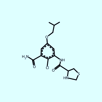 CC(C)COc1cc(NC(=O)C2CSCN2)c(Cl)c(C(N)=O)c1